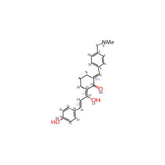 CNCc1ccc(/C=C2\CCC/C(=C(O)\C=C\c3ccc(O)cc3)C2=O)cc1